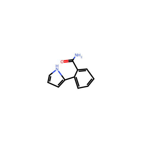 NC(=O)c1ccccc1-c1ccc[nH]1